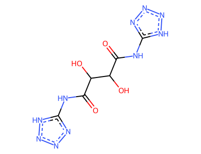 O=C(Nc1nnn[nH]1)C(O)C(O)C(=O)Nc1nnn[nH]1